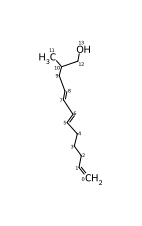 C=CCCCC=CC=CCC(C)CO